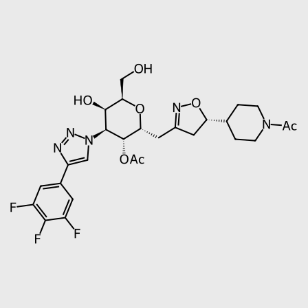 CC(=O)O[C@@H]1[C@@H](n2cc(-c3cc(F)c(F)c(F)c3)nn2)[C@@H](O)[C@@H](CO)O[C@@H]1CC1=NO[C@H](C2CCN(C(C)=O)CC2)C1